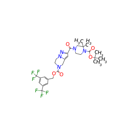 CC(C)(C)OC(=O)N1CCN(C(=O)c2cc3n(n2)CCN(C(=O)OCc2cc(C(F)(F)F)cc(C(F)(F)F)c2)C3)CC1(C)C